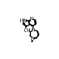 CN1CCCN(c2ccnc3[nH]cc(C#N)c23)CC1